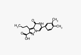 CCCc1c(C(=O)O)nn2cc(-c3ccc(C)c(C)c3)[nH]c(=O)c12